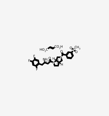 CS(=O)(=O)c1cccc(C(=O)N2C[C@@H]3CCN(C(=O)C[C@H](N)Cc4cc(F)c(F)cc4F)[C@@H]3C2)c1.O=C(O)C=CC(=O)O